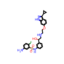 Nc1ccc(F)c(S(=O)(=O)Nc2cccc([C@@H](O)CNCCOc3ccc4c(C5CC5)n[nH]c4c3)c2)c1